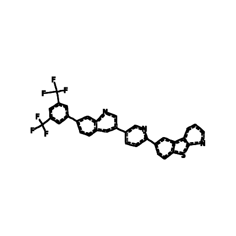 FC(F)(F)c1cc(-c2ccc3cc(-c4ccc(-c5ccc6sc7ncccc7c6c5)nc4)cnc3c2)cc(C(F)(F)F)c1